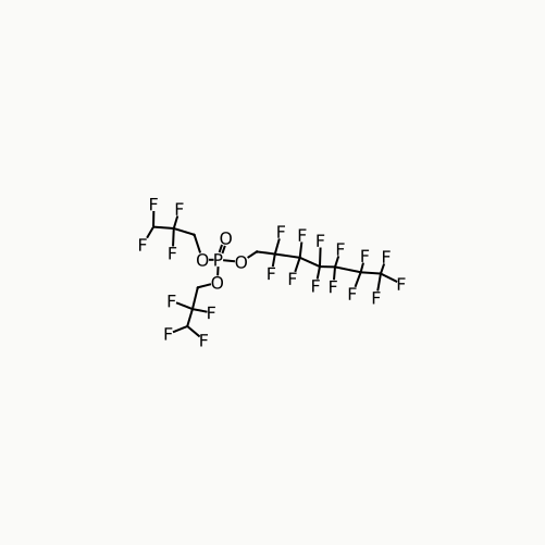 O=P(OCC(F)(F)C(F)F)(OCC(F)(F)C(F)F)OCC(F)(F)C(F)(F)C(F)(F)C(F)(F)C(F)(F)C(F)(F)F